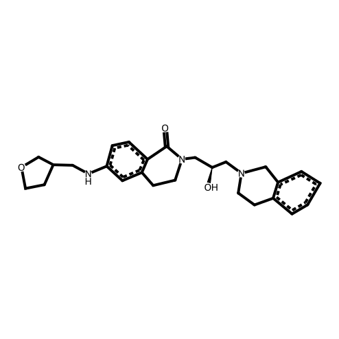 O=C1c2ccc(NCC3CCOC3)cc2CCN1C[C@H](O)CN1CCc2ccccc2C1